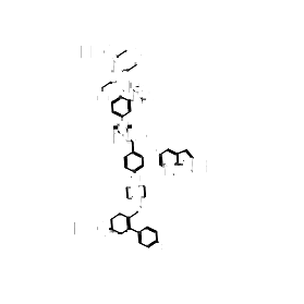 C[C@H]1COCCN1C[C@H]1COc2cc(S(=O)(=O)NC(=O)c3ccc(N4CCN(CC5=C(c6ccc(Cl)cc6)CC(C)(C)CC5)CC4)cc3Oc3cnc4[nH]ccc4c3)cc([N+](=O)[O-])c2N1